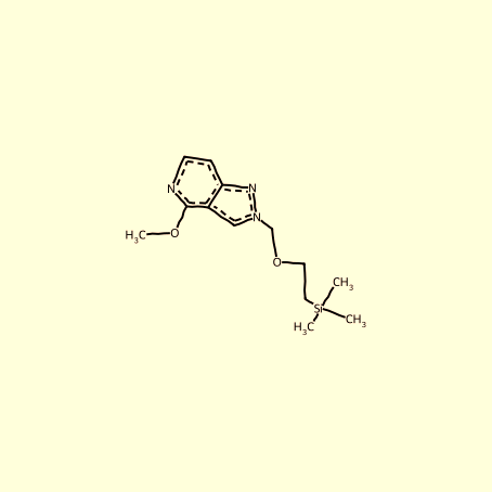 COc1nccc2nn(COCC[Si](C)(C)C)cc12